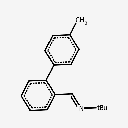 Cc1ccc(-c2ccccc2C=NC(C)(C)C)cc1